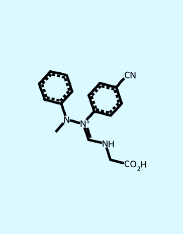 CN(c1ccccc1)[N+](=CNCC(=O)O)c1ccc(C#N)cc1